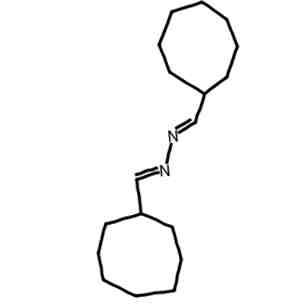 C(=NN=CC1CCCCCCC1)C1CCCCCCC1